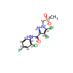 CS(=O)(=O)Cn1nc(C(=O)Nc2ccc(F)cc2Cl)c(Br)c1Br